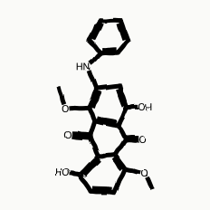 COc1ccc(O)c2c1C(=O)c1c(O)cc(Nc3ccccc3)c(OC)c1C2=O